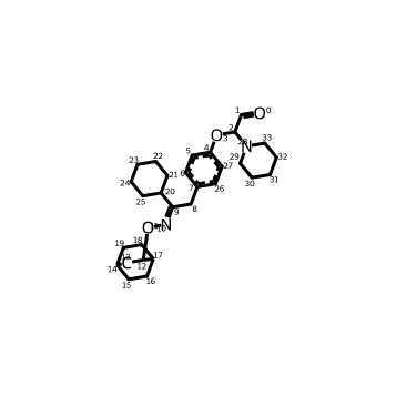 O=CC(Oc1ccc(CC(=NOC2CC3CCC2CC3)C2CCCCC2)cc1)N1CCCCC1